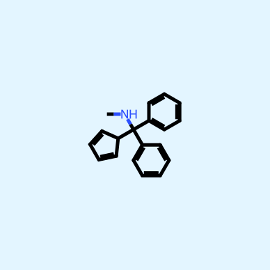 CNC(c1ccccc1)(c1ccccc1)C1C=CC=C1